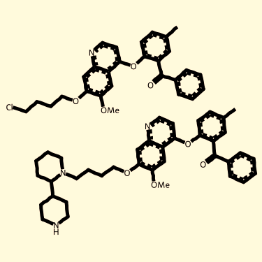 COc1cc2c(Oc3ccc(C)cc3C(=O)c3ccccc3)ccnc2cc1OCCCCCl.COc1cc2c(Oc3ccc(C)cc3C(=O)c3ccccc3)ccnc2cc1OCCCCN1CCCCC1C1CCNCC1